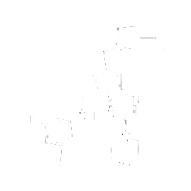 COC1CCN(Cc2cc(C(C)Nc3cc(F)cc(F)c3)c3nc(N4CCOCC4)cnc3c2)C1